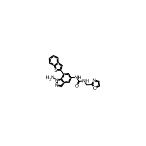 Nn1ncc2cc(NC(=O)NCc3ncco3)cc(-c3cc4ccccc4s3)c21